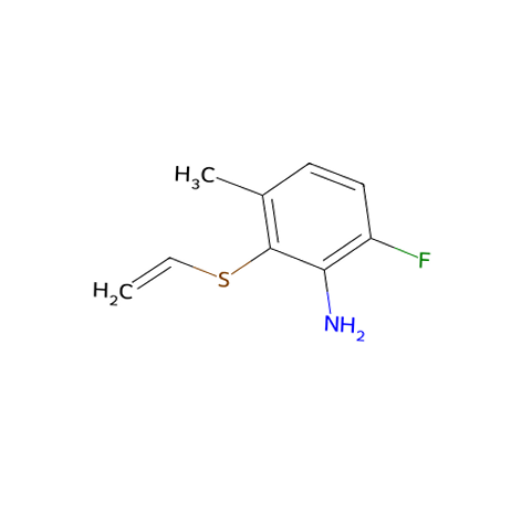 C=CSc1c(C)ccc(F)c1N